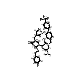 CN(C)C(=O)CN(Cc1ccc(-c2ccc(C(F)(F)F)cc2)cc1)C(=O)Cn1cc(Cc2cnn(C)c2)c(=O)nc1SCc1ccc(F)cc1